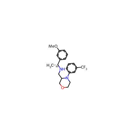 COc1cccc([C@@H](C)NCC2COCCN2c2cccc(C(F)(F)F)c2)c1